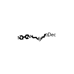 CCCCCCCCCCCCCC[N+](C)(C)CCCC[n+]1ccc(-c2ccncc2)cc1